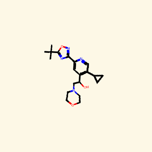 CC(C)(C)c1nc(-c2cc(C(O)CN3CCOCC3)c(C3CC3)cn2)no1